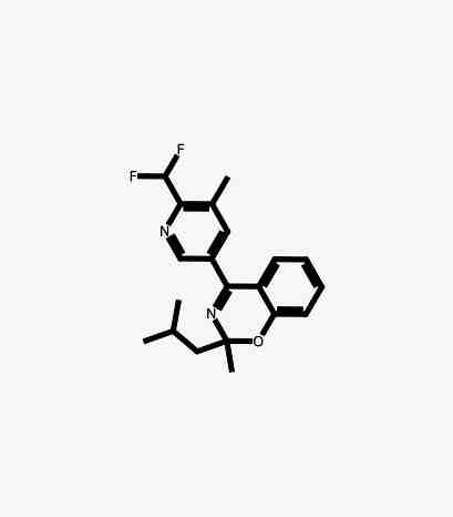 Cc1cc(C2=NC(C)(CC(C)C)Oc3ccccc32)cnc1C(F)F